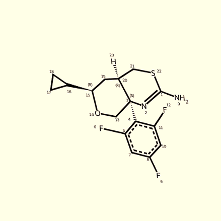 NC1=N[C@@]2(c3c(F)cc(F)cc3F)CO[C@@H](C3CC3)C[C@H]2CS1